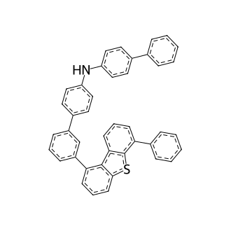 c1ccc(-c2ccc(Nc3ccc(-c4cccc(-c5cccc6sc7c(-c8ccccc8)cccc7c56)c4)cc3)cc2)cc1